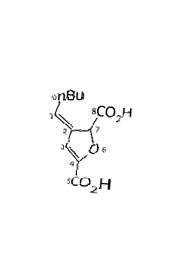 CCCCC=C1C=C(C(=O)O)OC1C(=O)O